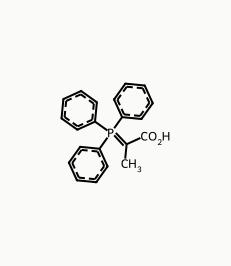 CC(C(=O)O)=P(c1ccccc1)(c1ccccc1)c1ccccc1